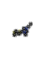 c1ccc(-c2ccc(-n3c4ccccc4c4c3ccc3c5ccccc5n(-c5ccc6sc7c(-c8cccc9sc%10ccccc%10c89)cccc7c6c5)c34)cc2)cc1